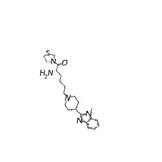 Cn1c(C2CCN(CCCC[C@H](N)C(=O)N3CCSC3)CC2)nc2ccccc21